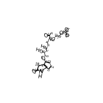 CC(=O)N(CCNCC(O)COc1cccc2c1CC(=O)N2)OCCO[N+](=O)[O-]